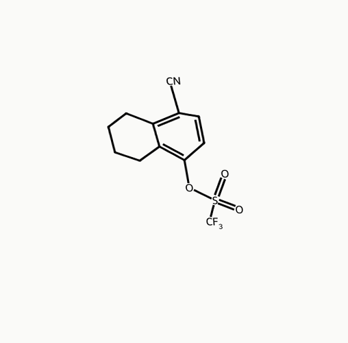 N#Cc1ccc(OS(=O)(=O)C(F)(F)F)c2c1CCCC2